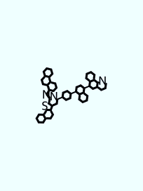 c1ccc2c(c1)ccc1c2ccc2c1nc1c3sc4c5ccccc5ccc4c3cc(-c3ccc(-c4ccc(-c5cc6cccnc6c6ccccc56)c5ccccc45)cc3)n21